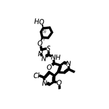 COc1cnc(Cl)cc1-c1cc(C)ncc1C(=O)Nc1nnc(O[C@@H]2CCC[C@H](O)C2)s1